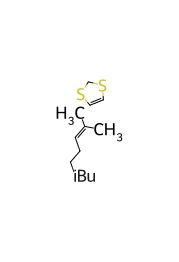 C1=CSCS1.CCC(C)CCC=C(C)C